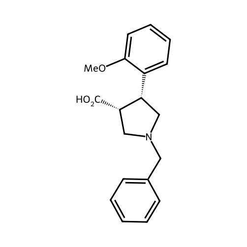 COc1ccccc1[C@@H]1CN(Cc2ccccc2)C[C@@H]1C(=O)O